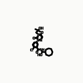 CC(C)(O)Cn1c(=O)cnn(-c2ccc(Cl)c(C(=O)NC(O)C3CCCCCCC3)c2)c1=O